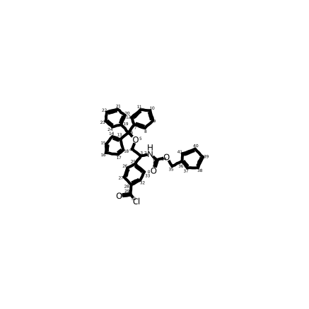 O=C(NC(COC(c1ccccc1)(c1ccccc1)c1ccccc1)c1ccc(C(=O)Cl)cc1)OCc1ccccc1